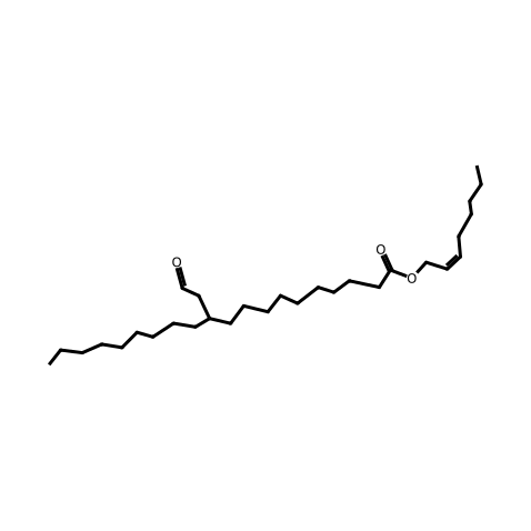 CCCCC/C=C\COC(=O)CCCCCCCCCC(CC=O)CCCCCCCCC